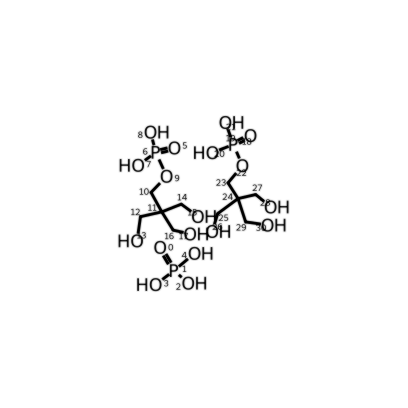 O=P(O)(O)O.O=P(O)(O)OCC(CO)(CO)CO.O=P(O)(O)OCC(CO)(CO)CO